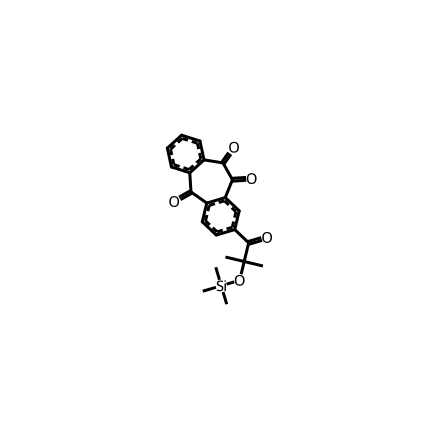 CC(C)(O[Si](C)(C)C)C(=O)c1ccc2c(c1)C(=O)C(=O)c1ccccc1C2=O